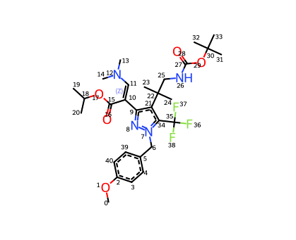 COc1ccc(Cn2nc(/C(=C/N(C)C)C(=O)OC(C)C)c(C(C)(C)CNC(=O)OC(C)(C)C)c2C(F)(F)F)cc1